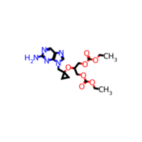 CCOC(=O)OC[C](COC(=O)OCC)OC1(Cn2cnc3cnc(N)nc32)CC1